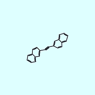 C(#Cc1ccc2ccccc2c1)c1ccc2cc[c]cc2c1